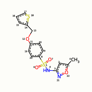 Cc1cc(NS(=O)(=O)c2ccc(OCc3cccs3)cc2)no1